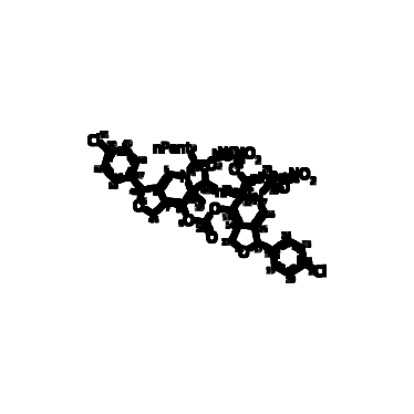 CCCCCC(O[N+](=O)[O-])N1C=C2C(=C(OC(=O)OC3=C4COC(c5ccc(Cl)cc5)C4=CN(C(CCCCC)O[N+](=O)[O-])C3(C)C(CCCCC)O[N+](=O)[O-])C1(C)C(CCCCC)O[N+](=O)[O-])COC2c1ccc(Cl)cc1